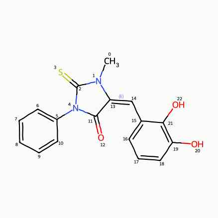 CN1C(=S)N(c2ccccc2)C(=O)/C1=C\c1cccc(O)c1O